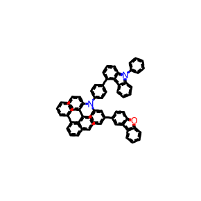 c1ccc(-c2cccc3cccc(-c4ccccc4N(c4ccc(-c5cccc6c5c5ccccc5n6-c5ccccc5)cc4)c4cccc(-c5ccc6oc7ccccc7c6c5)c4)c23)cc1